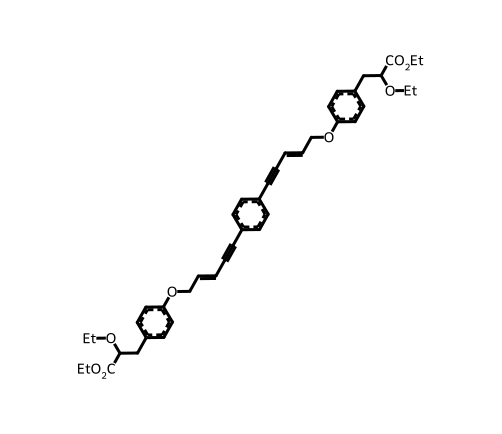 CCOC(=O)C(Cc1ccc(OC/C=C/C#Cc2ccc(C#C/C=C/COc3ccc(CC(OCC)C(=O)OCC)cc3)cc2)cc1)OCC